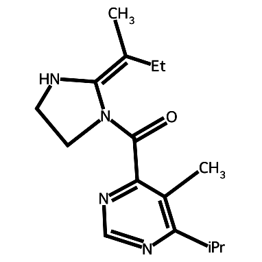 CC/C(C)=C1/NCCN1C(=O)c1ncnc(C(C)C)c1C